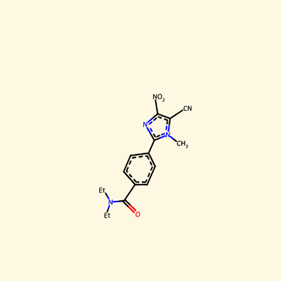 CCN(CC)C(=O)c1ccc(-c2nc([N+](=O)[O-])c(C#N)n2C)cc1